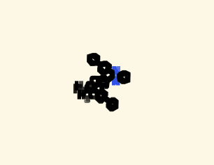 CC1(C)c2ccc(-c3ccccc3)cc2-c2cc(-c3nc4ccccc4nc3-c3ccc(-c4ccccc4)cc3)ccc2C1(C)C